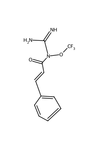 N=C(N)N(OC(F)(F)F)C(=O)C=Cc1ccccc1